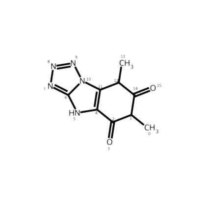 CC1C(=O)c2[nH]c3nnnn3c2C(C)C1=O